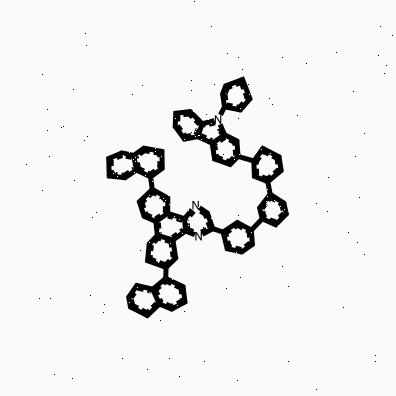 c1ccc(-n2c3ccccc3c3ccc(-c4cccc(-c5cccc(-c6cccc(-c7cnc8c9cc(-c%10cccc%11ccccc%10%11)ccc9c9ccc(-c%10cccc%11ccccc%10%11)cc9c8n7)c6)c5)c4)cc32)cc1